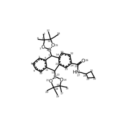 CC1(C)OB(C2c3ccccc3C(B3OC(C)(C)C(C)(C)O3)c3cc(C(=O)NC4CCC4)ccc32)OC1(C)C